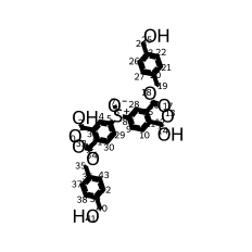 O=C(O)c1cc([S+]([O-])c2ccc(C(=O)O)c(C(=O)OCc3ccc(CO)cc3)c2)ccc1C(=O)OCc1ccc(CO)cc1